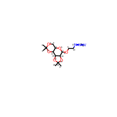 CC1(C)OCC2OC(OCCN=[N+]=[N-])C3OC(C)(C)OC3C2O1